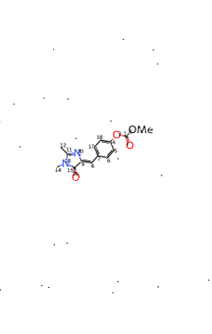 COC(=O)Oc1ccc(/C=C2\N=C(C)N(C)C2=O)cc1